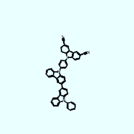 N#CC1=Cc2c(n(-c3ccc(-n4c5ccccc5c5cc(-c6ccc7c(c6)c6ccccc6n7-c6ccccc6)ccc54)cc3)c3ccc(C#N)cc23)CC1